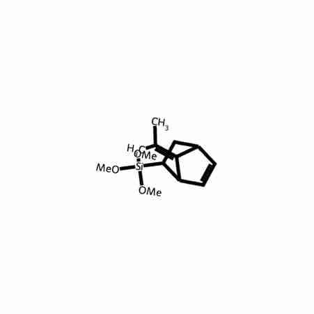 CO[Si](OC)(OC)C1CC2C=CC1C2=C(C)C